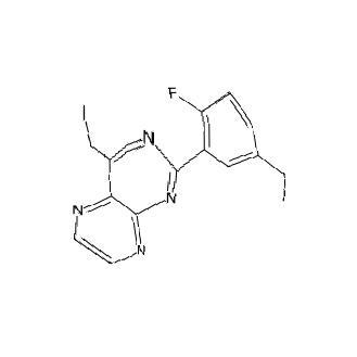 Fc1ccc(CI)cc1-c1nc(CI)c2nccnc2n1